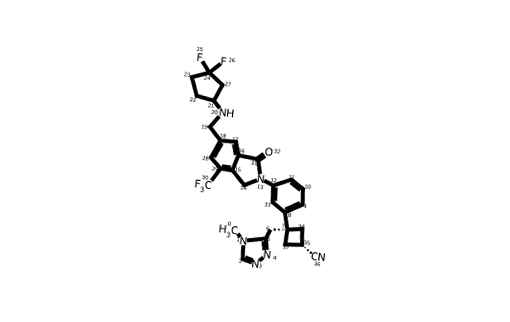 Cn1cnnc1C[C@]1(c2cccc(N3Cc4c(cc(CNC5CCC(F)(F)C5)cc4C(F)(F)F)C3=O)c2)C[C@H](C#N)C1